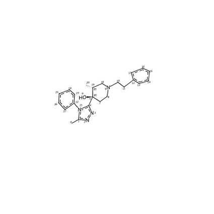 Cc1nnc([C@@]2(O)CCN(CCc3ccccc3)C[C@H]2C)n1-c1ccccc1